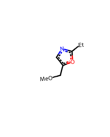 CCc1ncc(COC)o1